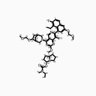 CCc1c(F)ccc2cc(OCOC)cc(-c3ncc4c(N5CC6CC(C5)C(OCOC)C6)nc(OC[C@]56CCCN5[C@@H](OC(=O)N(C)CC)CC6)nc4c3F)c12